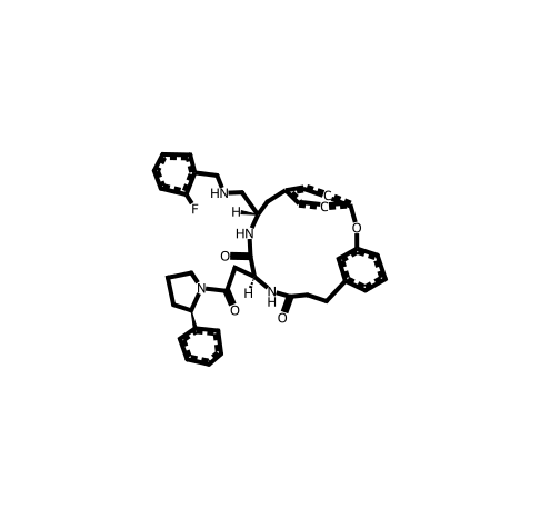 O=C1CCc2cccc(c2)Oc2ccc(cc2)C[C@@H](CNCc2ccccc2F)NC(=O)[C@H](CC(=O)N2CCC[C@@H]2c2ccccc2)N1